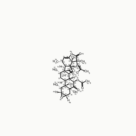 CC(=O)O[C@@H]1[C@H]2[C@@H]3[C@@H](OC(C)=O)C(=O)[C@@]4(O)C[C@@H]5O[C@@H]5[C@H](O)[C@]4(C)[C@H]3C[C@H](O)[C@]2(C(C)=O)[C@@H]2[C@@H]1[C@]1(C)C(=C[C@H]2C)OC(=O)C1(C)O